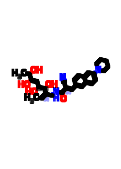 C/C=C(/CNC(=O)/C(C#N)=C/c1ccc2cc(N3CCCCC3)ccc2c1)[C@@H](O)[C@H](O)C=C(O)C(C)O